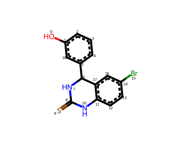 Oc1cccc(C2NC(=S)Nc3ccc(Br)cc32)c1